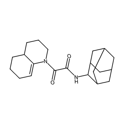 O=C(NC1C2CC3CC(C2)CC1C3)C(=O)N1CCCC2CCCC=C21